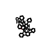 COc1cccc2nc(-c3ccc(-n4c5ccccc5c5ccc6c7ccccc7n(-c7nc(-c8ccccc8)cc(-c8ccccc8)n7)c6c54)cc3)[nH]c12